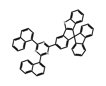 c1ccc2c(c1)-c1ccccc1C21c2ccc(-c3nc(-c4cccc5ccccc45)nc(-c4cccc5ccccc45)n3)cc2-c2sc3ccccc3c21